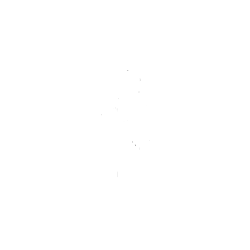 CCCN1CCc2sc3ccccc3c(=O)c2C1